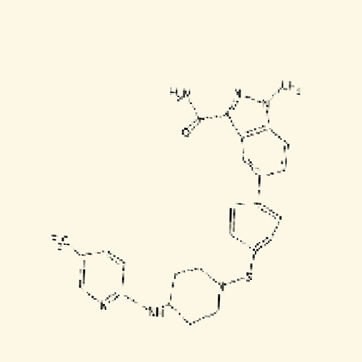 Cn1nc(C(N)=O)c2cc(-c3ccc(SN4CCC(Nc5ccc(C(F)(F)F)cn5)CC4)cc3)ccc21